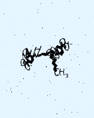 CCCCCCP(=O)(OCCCNc1ccc([N+](=O)[O-])c2nonc12)Oc1ccc([N+](=O)[O-])cc1